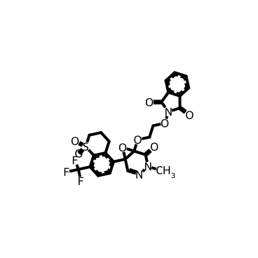 CN1N=CC2(c3ccc(C(F)(F)F)c4c3CCCS4(=O)=O)OC2(OCCON2C(=O)c3ccccc3C2=O)C1=O